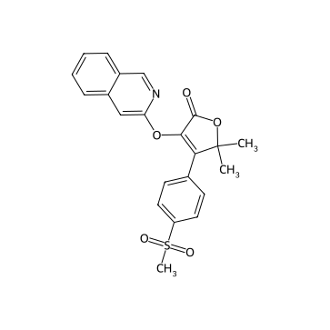 CC1(C)OC(=O)C(Oc2cc3ccccc3cn2)=C1c1ccc(S(C)(=O)=O)cc1